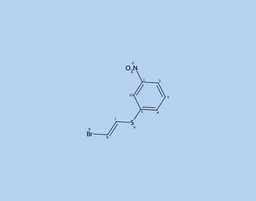 O=[N+]([O-])c1cccc(SC=CBr)c1